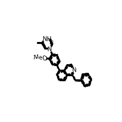 C=CN(/C=C(/C)N)c1ccc(-c2cccc3c(Cc4ccccc4)nccc23)cc1OC